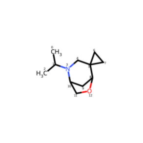 CC(C)N1CC2(CC2)C2CC1CO2